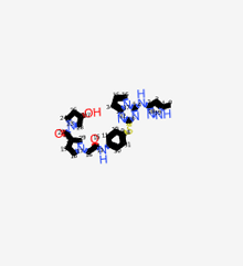 Cc1cc(Nc2nc(Sc3ccc(NC(=O)CN4CCC(C(=O)N5CCC(O)C5)C4)cc3)nc3cccn23)n[nH]1